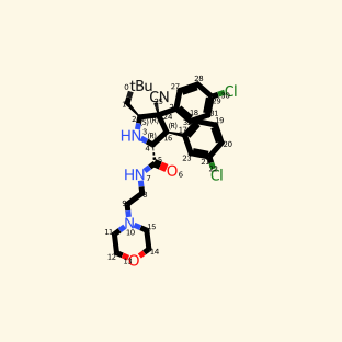 CC(C)(C)C[C@@H]1N[C@@H](C(=O)NCCN2CCOCC2)[C@H](c2cccc(Cl)c2)[C@@]1(C#N)c1ccc(Cl)cc1